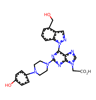 O=C(O)Cn1cnc2c(-n3ncc4c(CO)cccc43)nc(N3CCN(c4ccc(O)cc4)CC3)nc21